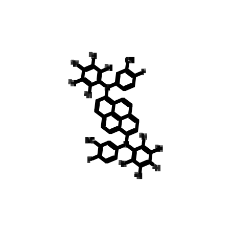 [2H]c1c([2H])c([2H])c(N(c2ccc(F)c(C#N)c2)c2ccc3ccc4c(N(c5ccc(F)c(C#N)c5)c5c([2H])c([2H])c([2H])c([2H])c5[2H])ccc5ccc2c3c54)c([2H])c1[2H]